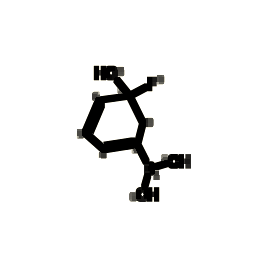 OB(O)C1=CC=CC(O)(F)C1